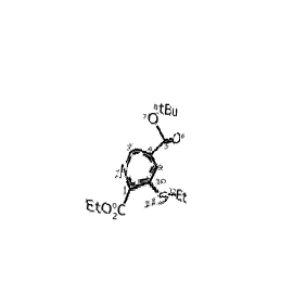 CCOC(=O)c1ncc(C(=O)OC(C)(C)C)cc1SCC